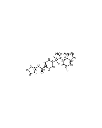 Cc1cc([C@@H](O)C(C)(C)C2CCN(C(=O)CN3CCCC3)CC2)c2[nH]ncc2c1